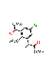 COC(=O)c1cc(Br)cc(C(C)C(=O)OC)c1OC